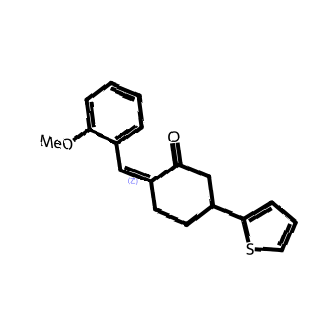 COc1ccccc1/C=C1/CCC(c2cccs2)CC1=O